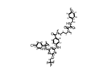 CN(CCCN(C)C(=O)c1ccc(Nc2nc(NC3(c4ccc(Cl)cc4)CC3)nc(OCC(F)(F)F)n2)cc1)C(=O)C(=O)NCc1ccc(F)cc1